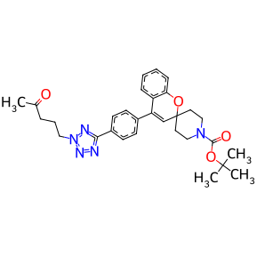 CC(=O)CCCn1nnc(-c2ccc(C3=CC4(CCN(C(=O)OC(C)(C)C)CC4)Oc4ccccc43)cc2)n1